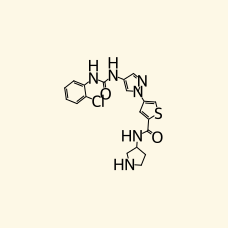 O=C(Nc1cnn(-c2csc(C(=O)NC3CCNC3)c2)c1)Nc1ccccc1Cl